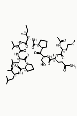 CC[C@H](C)[C@H](NC(=O)[C@@H]1CCCN1C(=O)[C@H](CO)NC(=O)[C@H](CCC(N)=O)NC(=O)[C@H](CCSC)NC(C)=O)C(=O)N[C@H](C(=O)N[C@@H](CC(C)C)C(=O)N1CCC[C@H]1C(=O)N[C@@H](CC(C)C)C(C)=O)C(C)C